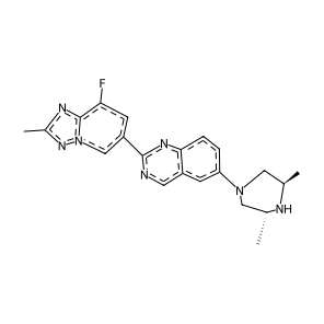 Cc1nc2c(F)cc(-c3ncc4cc(N5C[C@@H](C)N[C@H](C)C5)ccc4n3)cn2n1